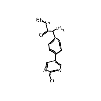 CCNC(=O)C(C)c1ccc(-c2cnc(Cl)nc2)cc1